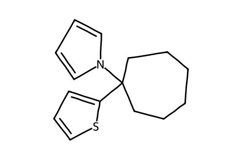 c1csc(C2(n3cccc3)CCCCCC2)c1